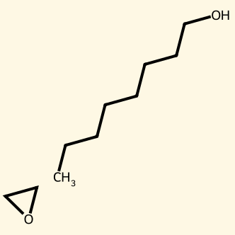 C1CO1.CCCCCCCCO